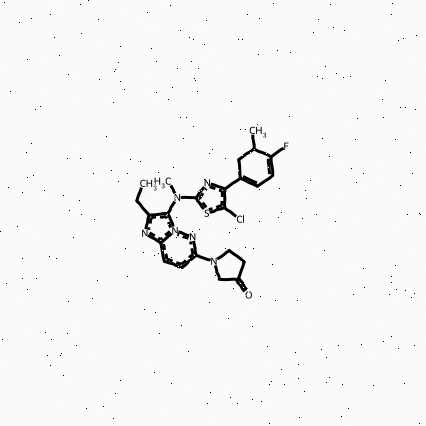 CCc1nc2ccc(N3CCC(=O)C3)nn2c1N(C)c1nc(C2=CC=C(F)C(C)C2)c(Cl)s1